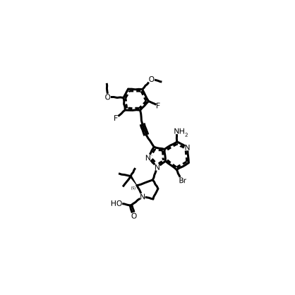 COc1cc(OC)c(F)c(C#Cc2nn(C3CCN(C(=O)O)[C@H]3C(C)(C)C)c3c(Br)cnc(N)c23)c1F